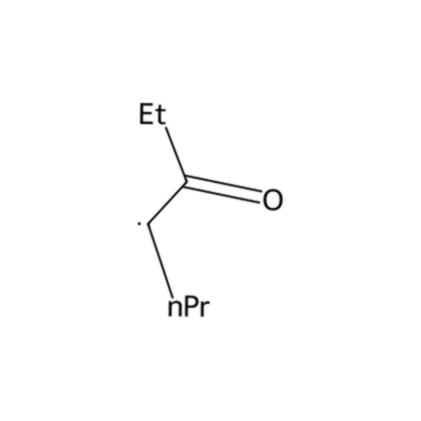 CCC[CH]C(=O)CC